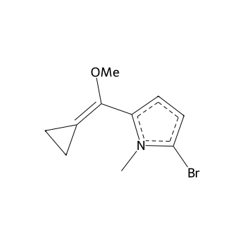 COC(=C1CC1)c1ccc(Br)n1C